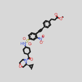 COC(=O)CCc1ccc(C#Cc2ccc(S(=O)(=O)NC3CCC(C(=O)N4CCOC[C@@H]4C4CC4)CC3)cc2[N+](=O)[O-])cc1